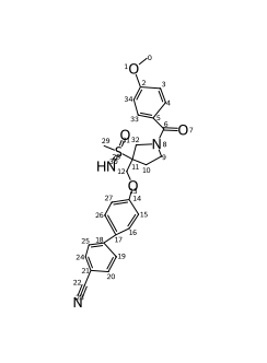 COc1ccc(C(=O)N2CCC(COc3ccc(-c4ccc(C#N)cc4)cc3)(S(C)(=N)=O)C2)cc1